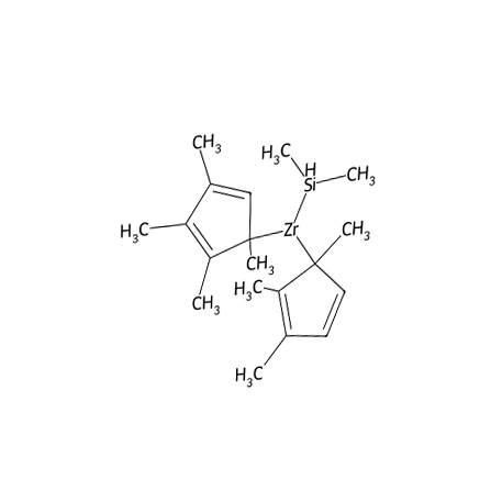 CC1=C[C](C)([Zr]([SiH](C)C)[C]2(C)C=CC(C)=C2C)C(C)=C1C